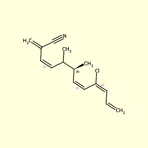 C=C/C=C(Cl)\C=C/[C@H](C)C(C)/C=C\C(=C)C#N